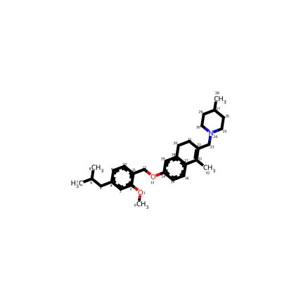 COc1cc(CC(C)C)ccc1COc1ccc2c(c1)CCC(CN1CCC(C)CC1)=C2C